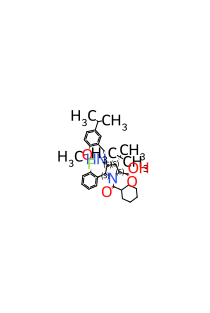 COc1ccc(C(C)C)cc1CN[C@H]1[C@H](C(C)(C)C)[C@@H](C(=O)O)N(C(=O)C2CCCCC2)[C@H]1c1ccccc1F